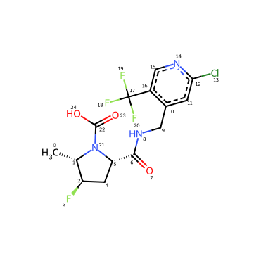 C[C@H]1[C@H](F)C[C@@H](C(=O)NCc2cc(Cl)ncc2C(F)(F)F)N1C(=O)O